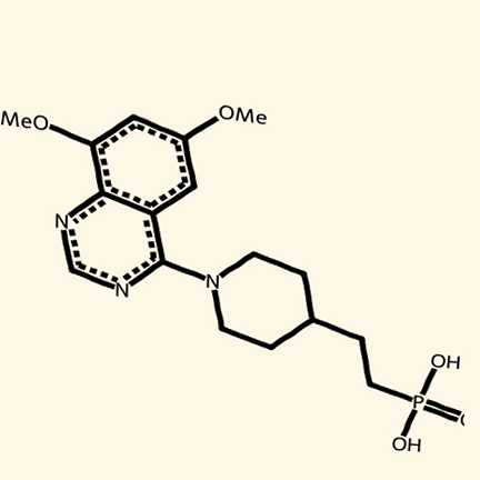 COc1cc(OC)c2ncnc(N3CCC(CCP(=O)(O)O)CC3)c2c1